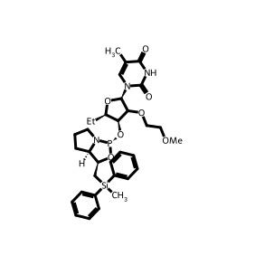 CC[C@H]1O[C@@H](n2cc(C)c(=O)[nH]c2=O)C(OCCOC)[C@H]1O[P@]1O[C@@H](C[Si](C)(c2ccccc2)c2ccccc2)[C@H]2CCCN21